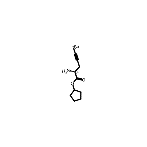 CC(C)(C)C#CC[C@H](N)C(=O)OC1CCCC1